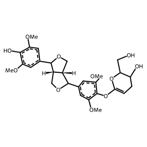 COc1cc(C2OC[C@@H]3C(c4cc(OC)c(OC5=CCC(O)C(CO)O5)c(OC)c4)OC[C@H]23)cc(OC)c1O